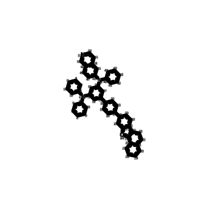 c1ccc(N(c2ccccc2)c2cc(-c3ccc(-c4ccc5c(c4)oc4c6ccccc6ccc54)cc3)cc(N(c3ccccc3)c3ccc4cnccc4c3)c2)cc1